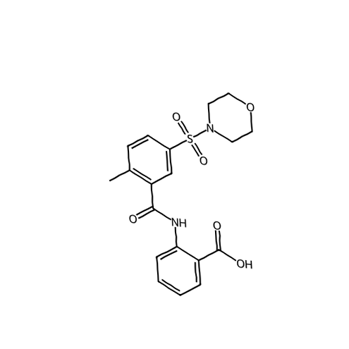 Cc1ccc(S(=O)(=O)N2CCOCC2)cc1C(=O)Nc1ccccc1C(=O)O